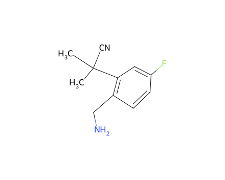 CC(C)(C#N)c1cc(F)ccc1CN